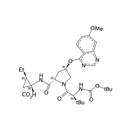 CC[C@@H]1C[C@]1(NC(=O)[C@@H]1C[C@@H](Oc2ncnc3cc(OC)ccc23)CN1C(=O)[C@@H](NC(=O)OC(C)(C)C)C(C)(C)C)C(=O)O